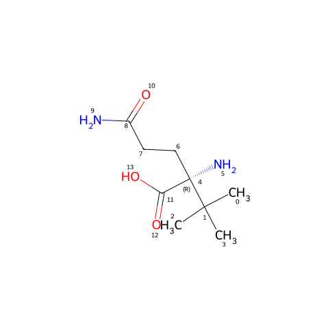 CC(C)(C)[C@](N)(CCC(N)=O)C(=O)O